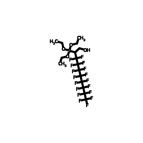 CCO[Si](OCC)(OCC)C(CO)C(F)(F)C(F)(F)C(F)(F)C(F)(F)C(F)(F)C(F)(F)C(F)(F)C(F)(F)F